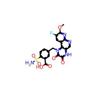 COc1nc2ncc3[nH]c(=O)c(=O)n(Cc4ccc(S(N)(=O)=O)c(C(=O)O)c4)c3c2cc1F